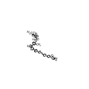 Cc1cc(-c2n[nH]c3ncc(-c4ccc(C5CCN(CCC6CCN(c7ccc(N8CCC(=O)NC8=O)cc7)CC6)CC5)cc4)cc23)ccc1CNC(=O)c1nc(C(C)(C)C)no1